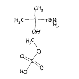 CCCCC(C)(C)O.COS(=O)(=O)O.N